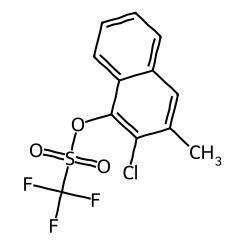 Cc1cc2ccccc2c(OS(=O)(=O)C(F)(F)F)c1Cl